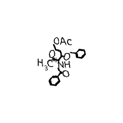 CC(=O)OCC1CC(OCc2ccccc2)C(NCC(=O)c2ccccc2)[C@@H](C)O1